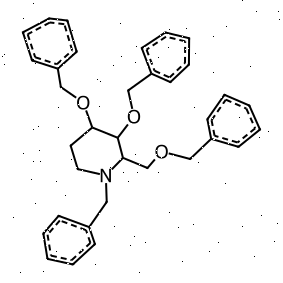 c1ccc(COCC2C(OCc3ccccc3)C(OCc3ccccc3)CCN2Cc2ccccc2)cc1